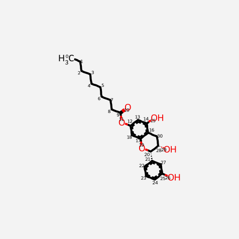 CCCCCCCCCC(=O)Oc1cc(O)c2c(c1)O[C@@H](c1cccc(O)c1)[C@@H](O)C2